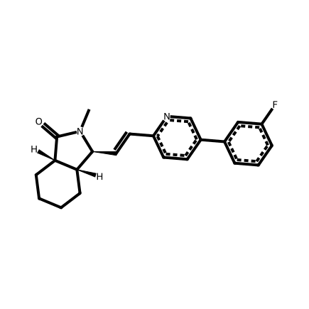 CN1C(=O)[C@H]2CCCC[C@H]2[C@@H]1/C=C/c1ccc(-c2cccc(F)c2)cn1